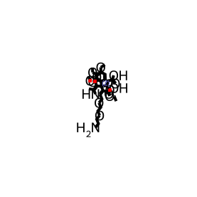 CCOC(=O)C1=C(COCCOCCN)NC(C)=C(C(=O)OC)C1(/C(=C/C(=O)O)C(=O)O)c1ccc(OC)c(OC)c1OC